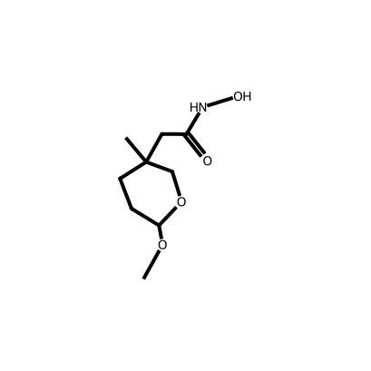 COC1CCC(C)(CC(=O)NO)CO1